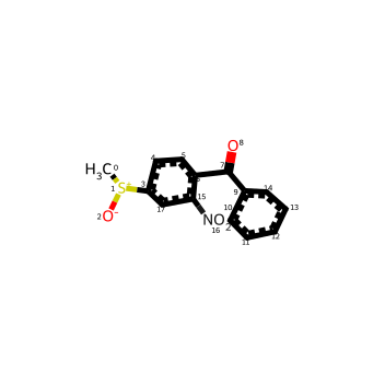 C[S+]([O-])c1ccc(C(=O)c2ccccc2)c([N+](=O)[O-])c1